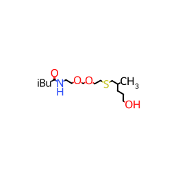 CCC(C)C(=O)NCCOCOCCSCC(C)CCCO